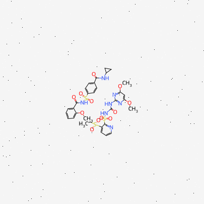 CCS(=O)(=O)c1cccnc1S(=O)(=O)NC(=O)Nc1nc(OC)cc(OC)n1.COc1ccccc1C(=O)NS(=O)(=O)c1ccc(C(=O)NC2CC2)cc1